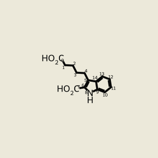 O=C(O)CCCCc1c(C(=O)O)[nH]c2ccccc12